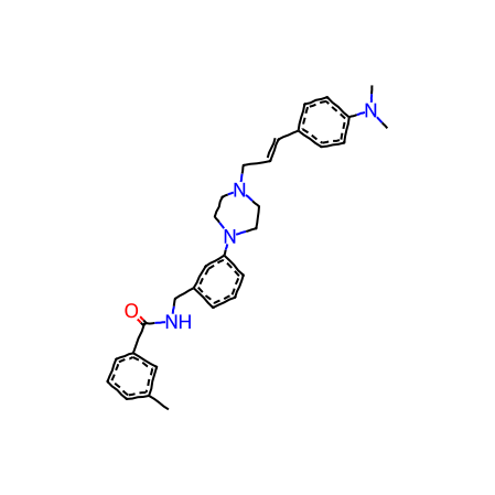 Cc1cccc(C(=O)NCc2cccc(N3CCN(CC=Cc4ccc(N(C)C)cc4)CC3)c2)c1